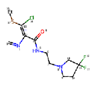 C=N/C(C(=O)NCCN1CCC(F)(F)C1)=C(/Cl)SCC